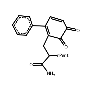 CCCCCC(CC1=C(c2ccccc2)C=CC(=O)C1=O)C(N)=O